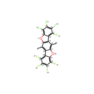 Cc1c2oc3c(F)c(F)c(F)c(F)c3c2c(C)c2oc3c(F)c(F)c(F)c(F)c3c12